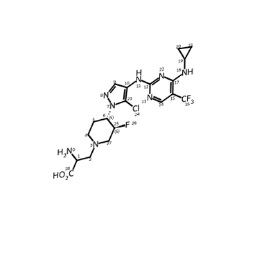 NC(CN1CC[C@H](n2ncc(Nc3ncc(C(F)(F)F)c(NC4CC4)n3)c2Cl)[C@@H](F)C1)C(=O)O